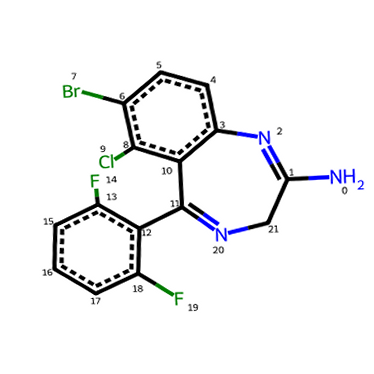 NC1=Nc2ccc(Br)c(Cl)c2C(c2c(F)cccc2F)=NC1